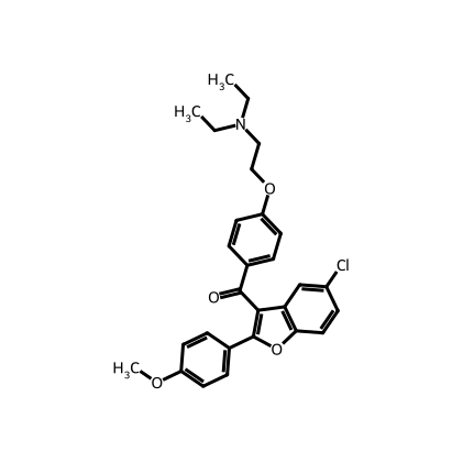 CCN(CC)CCOc1ccc(C(=O)c2c(-c3ccc(OC)cc3)oc3ccc(Cl)cc23)cc1